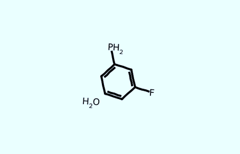 Fc1cccc(P)c1.O